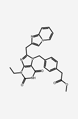 CCn1c(=O)[nH]c(=O)c2c1nc(Cc1cn3ccccc3n1)n2Cc1ccc(CC(=O)OC)cc1